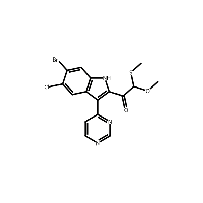 COC(SC)C(=O)c1[nH]c2cc(Br)c(Cl)cc2c1-c1ccncn1